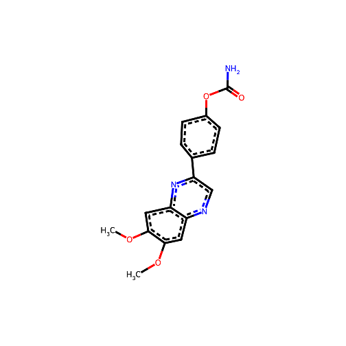 COc1cc2ncc(-c3ccc(OC(N)=O)cc3)nc2cc1OC